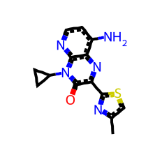 Cc1csc(-c2nc3c(N)ccnc3n(C3CC3)c2=O)n1